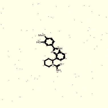 COc1ccc(-c2nc3c(C4CCCCN4C(N)=O)cccc3[nH]2)cc1O